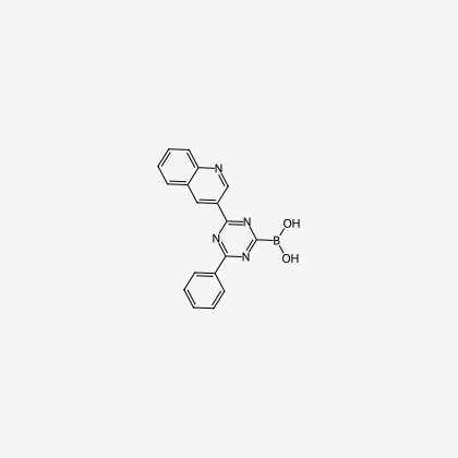 OB(O)c1nc(-c2ccccc2)nc(-c2cnc3ccccc3c2)n1